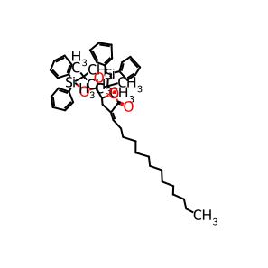 CCCCCCCCCCCCC/C=C1/CC(C(O[Si](c2ccccc2)(c2ccccc2)C(C)(C)C)O[Si](c2ccccc2)(c2ccccc2)C(C)(C)C)OC1=O